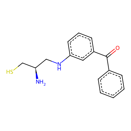 N[C@@H](CS)CNc1cccc(C(=O)c2ccccc2)c1